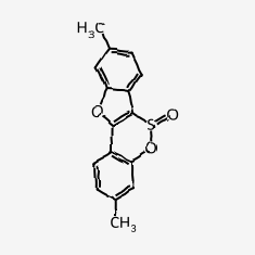 Cc1ccc2c(c1)OS(=O)c1c-2oc2cc(C)ccc12